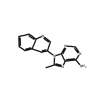 Cc1nc2c(N)ncnc2n1-c1cnc2ccccc2c1